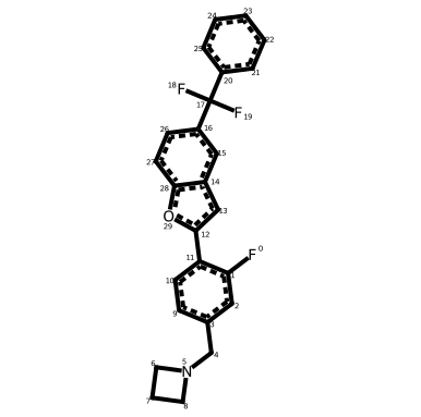 Fc1cc(CN2CCC2)ccc1-c1cc2cc(C(F)(F)c3ccccc3)ccc2o1